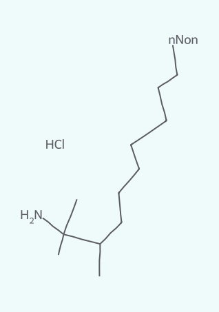 CCCCCCCCCCCCCCCCC(C)C(C)(C)N.Cl